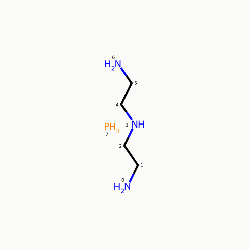 NCCNCCN.P